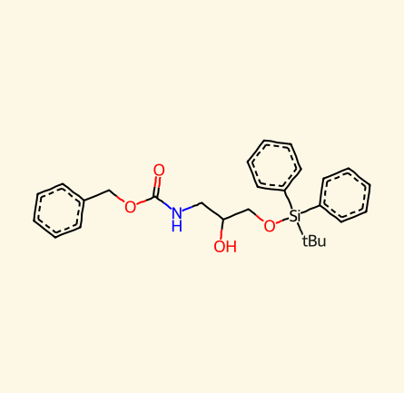 CC(C)(C)[Si](OCC(O)CNC(=O)OCc1ccccc1)(c1ccccc1)c1ccccc1